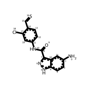 Nc1ccc2[nH]nc(C(=O)Nc3ccc(C=S)c(Cl)c3)c2c1